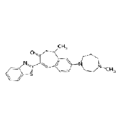 CC1CC(=O)C(c2nc3ccccc3s2)=Cc2ccc(N3CCCN(C)CC3)cc21